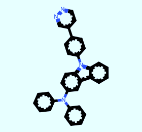 c1ccc(N(c2ccccc2)c2ccc3c(c2)c2ccccc2n3-c2ccc(-c3ccnnc3)cc2)cc1